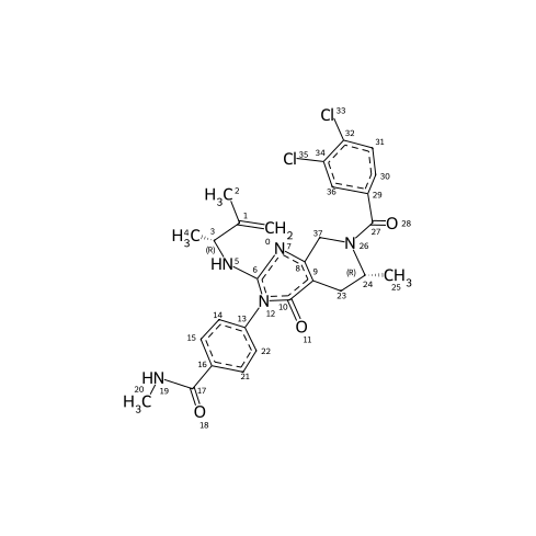 C=C(C)[C@@H](C)Nc1nc2c(c(=O)n1-c1ccc(C(=O)NC)cc1)C[C@@H](C)N(C(=O)c1ccc(Cl)c(Cl)c1)C2